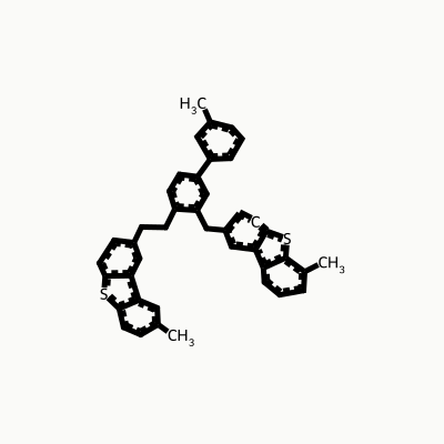 Cc1cccc(-c2ccc(CCc3ccc4sc5ccc(C)cc5c4c3)c(Cc3ccc4sc5c(C)cccc5c4c3)c2)c1